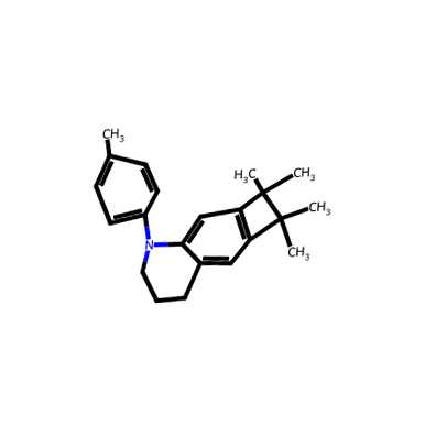 Cc1ccc(N2CCCc3cc4c(cc32)C(C)(C)C4(C)C)cc1